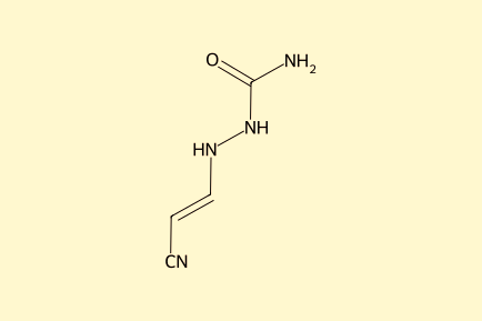 N#CC=CNNC(N)=O